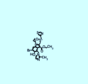 CCOC(=O)c1c(C[S+]([O-])Cc2cscn2)n(C2CC2)c2cc(Br)c(O)c(Cn3ccnc3C)c12